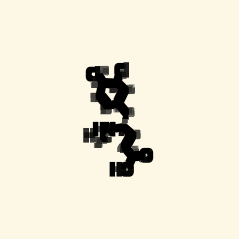 CN[C@@H](C=CC(=O)O)Cc1ccc(Cl)c(Cl)c1